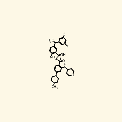 CC(c1cc(F)cc(F)c1)c1ccc(N)c(C(=N)NC(=O)c2ccc(N3CCN(C)CC3)cc2NC2CCOCC2)c1